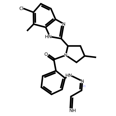 Cc1c(Cl)ccc2nc(C3CC(C)CN3C(=O)c3ccccc3N/N=C\C=N)[nH]c12